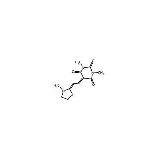 CN1C(=O)C(=C/C=C2\SCCN2C)C(=O)N(C)C1=O